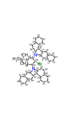 C[Si](C)(C)c1cc(-n2c3cc4ccccc4cc3c3c4ccccc4ccc32)c(Br)c(-n2c3cc4ccccc4cc3c3c4ccccc4ccc32)c1